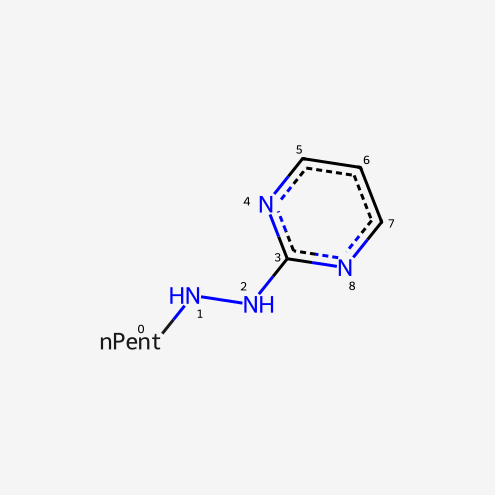 CCCCCNNc1ncccn1